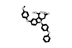 COc1ccc(Oc2ccc3c(c2)c(C(=O)O)c(CC(=O)O)n3-c2ccc(Oc3ccccc3)cc2)cc1